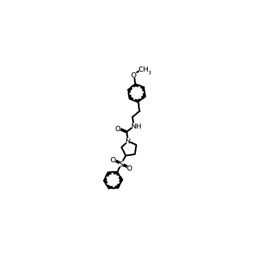 COc1ccc(CCNC(=O)N2CCC(S(=O)(=O)c3ccccc3)C2)cc1